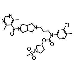 Cc1ccc(N(CCCN2CC3CN(C(=O)c4c(C)ncnc4C)CC3C2)C(=O)OC2CCN(S(C)(=O)=O)C2)cc1Cl